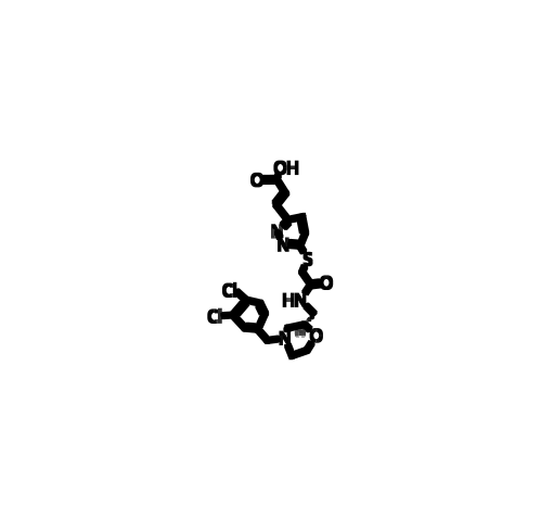 O=C(O)C=Cc1ccc(SCC(=O)NC[C@H]2CN(Cc3ccc(Cl)c(Cl)c3)CCO2)nn1